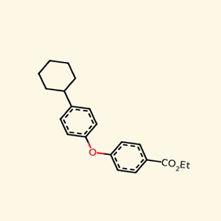 CCOC(=O)c1ccc(Oc2ccc(C3CCCCC3)cc2)cc1